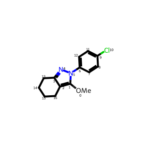 COc1c2c(nn1-c1ccc(Cl)cc1)CCCC2